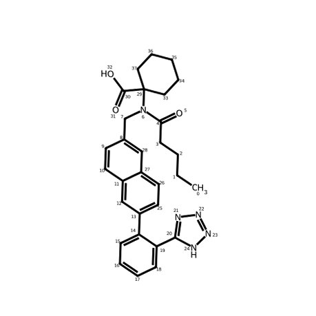 CCCCC(=O)N(Cc1ccc2cc(-c3ccccc3-c3nnn[nH]3)ccc2c1)C1(C(=O)O)CCCCC1